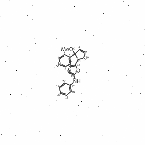 COC1(c2ccncc2)C=CSC1c1nnc(Nc2ccccc2)o1